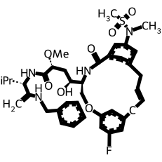 C=C(NCc1ccccc1)[C@@H](NC(=O)[C@@H](C[C@H](O)[C@@H]1COc2cc(F)cc(c2)C/C=C/Cc2cc(cc(N(C)S(C)(=O)=O)c2)C(=O)N1)OC)C(C)C